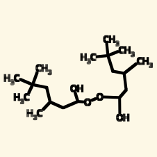 CC(CC(O)OOC(O)CC(C)CC(C)(C)C)CC(C)(C)C